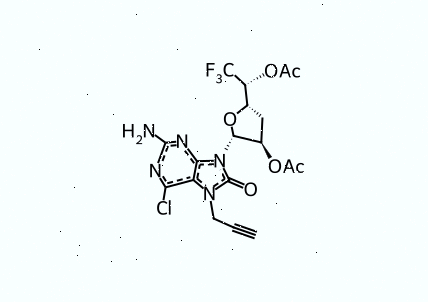 C#CCn1c(=O)n([C@@H]2O[C@H]([C@@H](OC(C)=O)C(F)(F)F)C[C@H]2OC(C)=O)c2nc(N)nc(Cl)c21